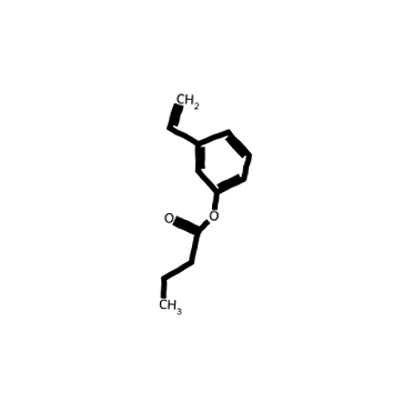 C=Cc1cccc(OC(=O)CCC)c1